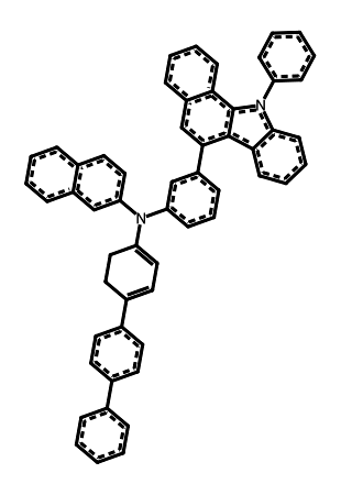 C1=C(c2ccc(-c3ccccc3)cc2)CCC(N(c2cccc(-c3cc4ccccc4c4c3c3ccccc3n4-c3ccccc3)c2)c2ccc3ccccc3c2)=C1